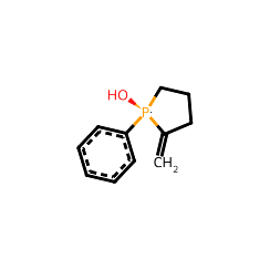 C=C1CCC[P@@]1(O)c1ccccc1